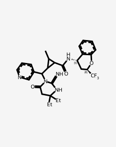 CCC1(CC)CC(=O)N(C(c2cccnc2)C2C(C)C2C(=O)N[C@H]2C[C@H](C(F)(F)F)Oc3ccccc32)C(=N)N1